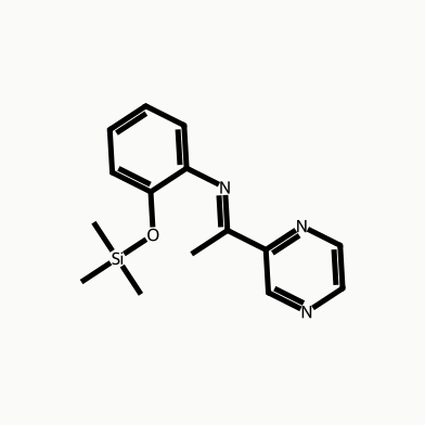 CC(=Nc1ccccc1O[Si](C)(C)C)c1cnccn1